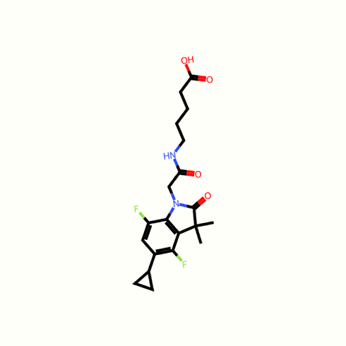 CC1(C)C(=O)N(CC(=O)NCCCCC(=O)O)c2c(F)cc(C3CC3)c(F)c21